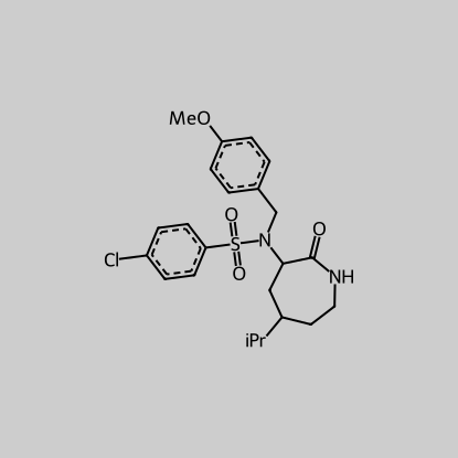 COc1ccc(CN(C2CC(C(C)C)CCNC2=O)S(=O)(=O)c2ccc(Cl)cc2)cc1